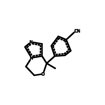 CC1(c2ccc(C#N)cc2)OCCn2cncc21